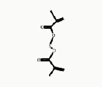 C=C(C)C(=O)OSOC(=O)C(=C)C